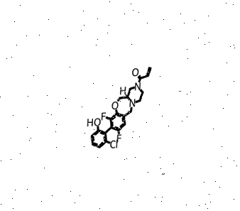 C=CC(=O)N1CCN2Cc3cc(F)c(-c4c(O)cccc4Cl)c(F)c3OC[C@H]2C1